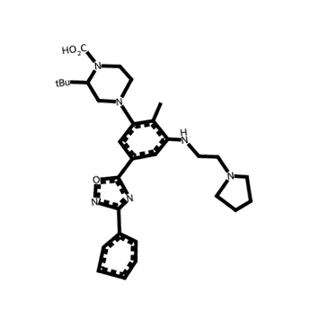 Cc1c(NCCN2CCCC2)cc(-c2nc(-c3ccccc3)no2)cc1N1CCN(C(=O)O)C(C(C)(C)C)C1